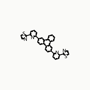 c1cc(-c2ccc3c4ccc(-c5cccc(-c6nccs6)n5)cc4c4ccccc4c3c2)nc(-c2nccs2)c1